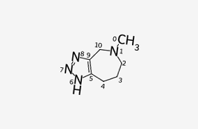 CN1CCCc2[nH]nnc2C1